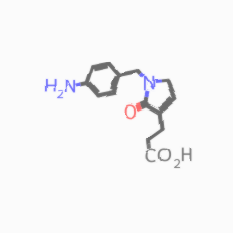 Nc1ccc(CN2CC=C(CCC(=O)O)C2=O)cc1